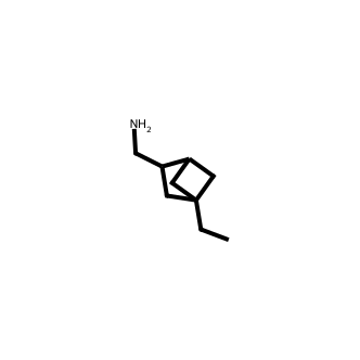 CCC12CC(CN)C(C1)C2